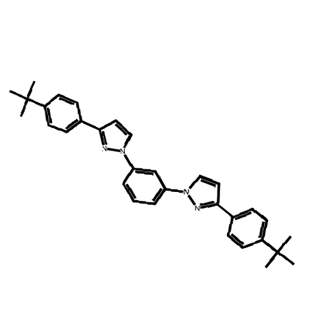 CC(C)(C)c1ccc(-c2ccn(-c3cccc(-n4ccc(-c5ccc(C(C)(C)C)cc5)n4)c3)n2)cc1